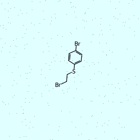 BrCCSc1ccc(Br)cc1